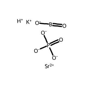 O=B[O-].O=P([O-])([O-])[O-].[H+].[K+].[Sr+2]